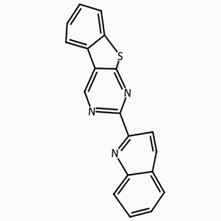 c1ccc2nc(-c3ncc4c(n3)sc3ccccc34)ccc2c1